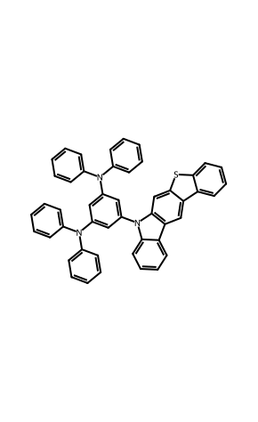 c1ccc(N(c2ccccc2)c2cc(N(c3ccccc3)c3ccccc3)cc(-n3c4ccccc4c4cc5c(cc43)sc3ccccc35)c2)cc1